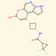 O=C(N[C@H]1C[C@@H](C2=CB(O)Oc3cnc4[nH]ccc4c32)C1)C1CC1(F)F